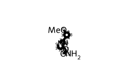 COc1cccc(-c2cn3cccc(OC(N)=O)c3n2)c1